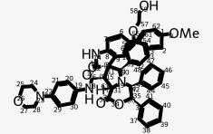 COc1ccc(-c2ccc3c(c2)[C@]2(C(=O)N3)[C@H](C(=O)Nc3ccc(N4CCOCC4)cc3)[C@H]3C(=O)O[C@H](c4ccccc4)[C@H](c4ccccc4)N3[C@@H]2c2cccc(OCCO)c2)cc1